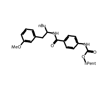 CCCCCOC(=O)Nc1ccc(C(=O)NC(CCCC)Cc2cccc(OC)c2)cc1